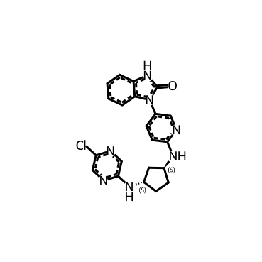 O=c1[nH]c2ccccc2n1-c1ccc(N[C@H]2CC[C@H](Nc3cnc(Cl)cn3)C2)nc1